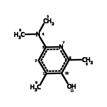 Cc1cc(N(C)C)nc(C)c1O